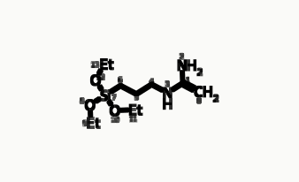 C=C(N)NCCC[Si](OCC)(OCC)OCC